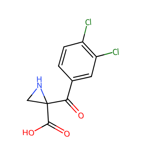 O=C(O)C1(C(=O)c2ccc(Cl)c(Cl)c2)CN1